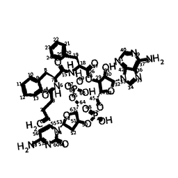 C=CCCC(=O)N[C@@H](Cc1ccccc1)C(=O)N[C@@H](Cc1ccccc1)C(=O)OC1C(O)[C@H](n2cnc3c(N)ncnc32)O[C@@H]1COP(=O)(O)OC1C[C@H](n2ccc(N)nc2=O)O[C@@H]1COP(=O)(O)O